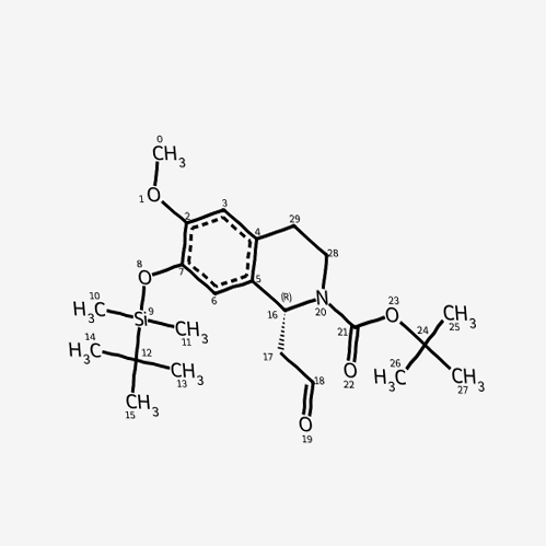 COc1cc2c(cc1O[Si](C)(C)C(C)(C)C)[C@@H](CC=O)N(C(=O)OC(C)(C)C)CC2